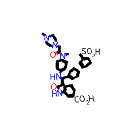 CN1CCN(CC(=O)N(C)c2ccc(N/C(=C3\C(=O)Nc4cc(C(=O)O)ccc43)c3ccccc3)cc2)CC1.O=S(=O)(O)Cc1ccccc1